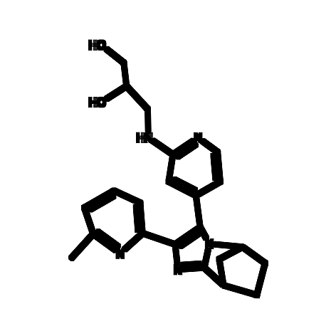 Cc1cccc(-c2nc3n(c2-c2ccnc(NCC(O)CO)c2)C2CCC3C2)n1